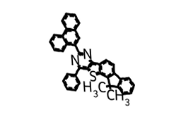 CC1(C)c2ccccc2-c2ccc3c(sc4c(-c5ccccc5)nc(-c5cc6ccccc6c6ccccc56)nc43)c21